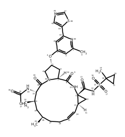 Cc1cc(O[C@@H]2C[C@H]3C(=O)N[C@]4(C(=O)NS(=O)(=O)C5(C)CC5)C[C@H]4/C=C\CC[C@@H](C)C[C@@H](C)[C@H](NC(=O)O)C(=O)N3C2)cc(-c2cncs2)n1